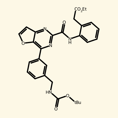 CCOC(=O)Cc1ccccc1NC(=O)c1nc(-c2cccc(CNC(=O)OC(C)(C)C)c2)c2occc2n1